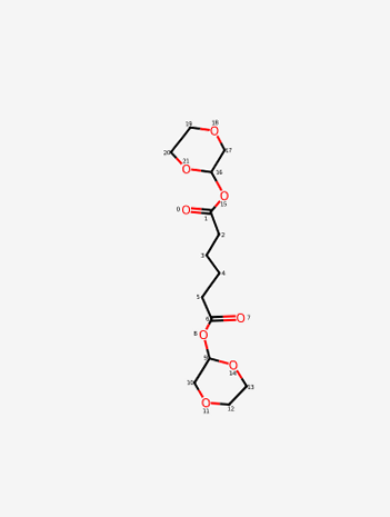 O=C(CCCCC(=O)OC1COCCO1)OC1COCCO1